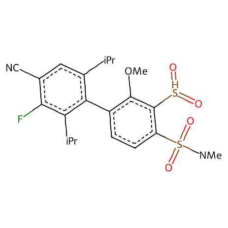 CNS(=O)(=O)c1ccc(-c2c(C(C)C)cc(C#N)c(F)c2C(C)C)c(OC)c1[SH](=O)=O